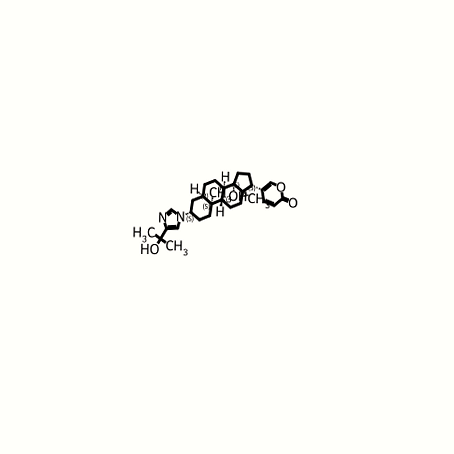 CC(C)(O)c1cn([C@H]2CC[C@@]3(C)[C@H](CC[C@@H]4[C@@H]3CC[C@]3(C)[C@@H](c5ccc(=O)oc5)CC[C@]43O)C2)cn1